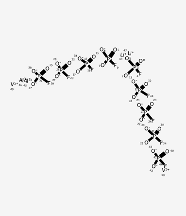 O=P([O-])([O-])F.O=P([O-])([O-])F.O=P([O-])([O-])F.O=P([O-])([O-])F.O=P([O-])([O-])F.O=P([O-])([O-])F.O=P([O-])([O-])F.O=P([O-])([O-])F.O=P([O-])([O-])F.[Al+3].[Al+3].[Li+].[Li+].[V+5].[V+5]